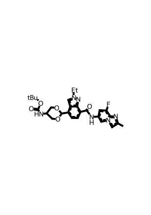 CCn1cc2c(C3OCC(NC(=O)OC(C)(C)C)CO3)ccc(C(=O)Nc3cc(F)c4nc(C)cn4c3)c2n1